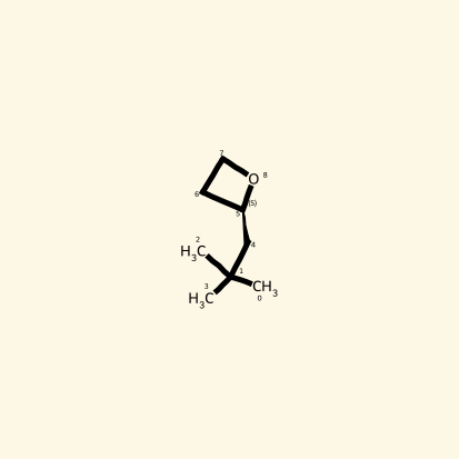 CC(C)(C)C[C@H]1CCO1